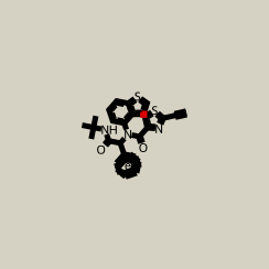 C#Cc1nc(C(=O)N(c2cccc3sccc23)C(C(=O)NC(C)(C)C)[C]23[CH]4[CH]5[CH]6[CH]2[Fe]56432789[CH]3[CH]2[CH]7[CH]8[CH]39)cs1